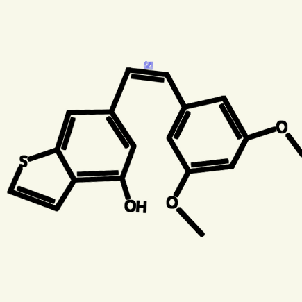 COc1cc(/C=C\c2cc(O)c3ccsc3c2)cc(OC)c1